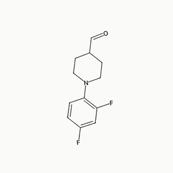 O=CC1CCN(c2ccc(F)cc2F)CC1